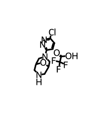 Clc1ccc(N2CC3CNCC(C2)O3)nn1.O=C(O)C(F)(F)F